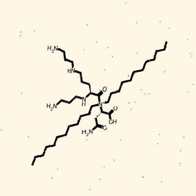 CCCCCCCCCCCC[N+](CCCCCCCCCCCC)(C(=O)[C@H](CCCNCCCN)NCCCN)[C@@H](CC(N)=O)C(=O)O